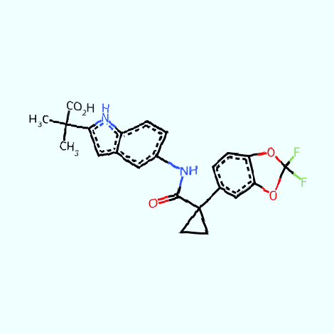 CC(C)(C(=O)O)c1cc2cc(NC(=O)C3(c4ccc5c(c4)OC(F)(F)O5)CC3)ccc2[nH]1